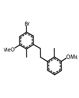 COc1cccc(CCc2cc(Br)cc(OC)c2C)c1C